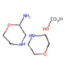 C1COCCN1.NC1CNCCO1.O=C(O)O